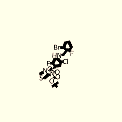 CC(C)(C)OC(=O)N(c1cscn1)S(=O)(=O)c1cc(Cl)c(NCc2c(F)cccc2Br)cc1F